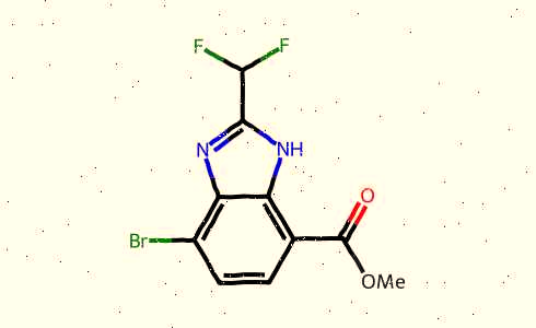 COC(=O)c1ccc(Br)c2nc(C(F)F)[nH]c12